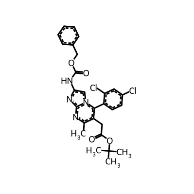 Cc1nc2nc(NC(=O)OCc3ccccc3)cn2c(-c2ccc(Cl)cc2Cl)c1CC(=O)OC(C)(C)C